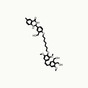 COc1cc(/C=C\c2cc(OC)c(OCCCCCCCOc3ccc(C4NC(=O)c5cc(C)ccc5N4)cc3CO)c(OC)c2)cc(CO)c1CO